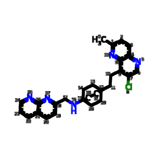 Cc1ccc2ncc(Cl)c(CCC34CCC(NCc5ccc6cccnc6n5)(CC3)CC4)c2n1